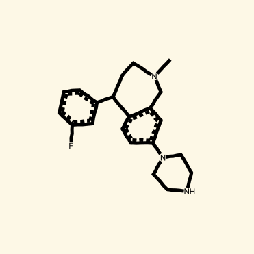 CN1CCC(c2cccc(F)c2)c2ccc(N3CCNCC3)cc2C1